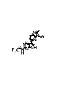 Cc1nc2ccc(-c3c[nH]c4nc(NCC(F)(F)F)ncc34)nc2n1C(C)C